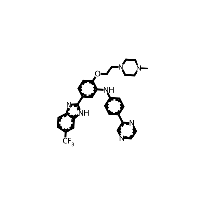 CN1CCN(CCOc2ccc(-c3nc4ccc(C(F)(F)F)cc4[nH]3)cc2Nc2ccc(-c3cnccn3)cc2)CC1